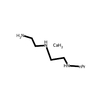 CCCNCCNCCN.[CaH2]